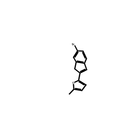 Cc1ccc(C2=Cc3ccc(Br)cc3C2)o1